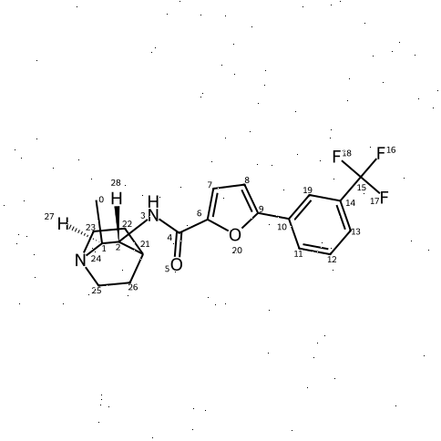 C[C@H]1[C@H](NC(=O)c2ccc(-c3cccc(C(F)(F)F)c3)o2)C2CCN1CC2